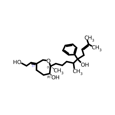 CC(C)=CCC(O)(c1ccccc1)C(C)CCC[C@]1(C)OC/C(=C/CO)CC[C@H]1O